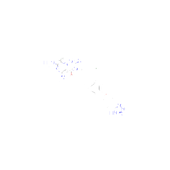 Cl.N=C(N)N(CCCCc1ccc(OCCCc2nnn[nH]2)cc1)C(=O)c1nc(Cl)c(N)nc1N